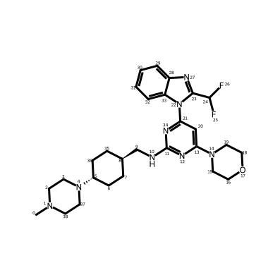 CN1CCN([C@H]2CC[C@H](CNc3nc(N4CCOCC4)cc(-n4c(C(F)F)nc5ccccc54)n3)CC2)CC1